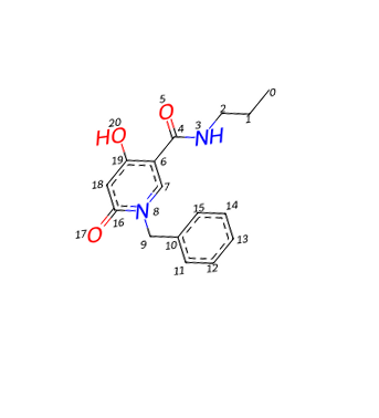 CCCNC(=O)c1cn(Cc2ccccc2)c(=O)cc1O